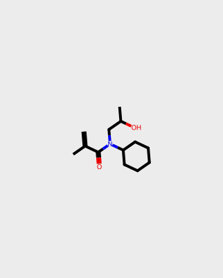 C=C(C)C(=O)N(CC(C)O)C1CCCCC1